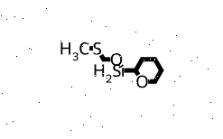 CSCO[SiH2]C1CCCCO1